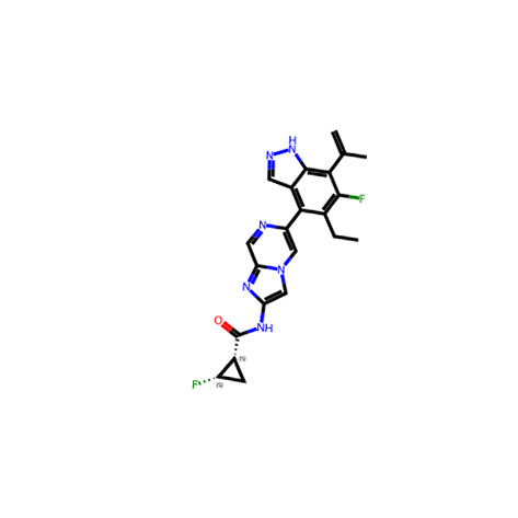 C=C(C)c1c(F)c(CC)c(-c2cn3cc(NC(=O)[C@@H]4C[C@@H]4F)nc3cn2)c2cn[nH]c12